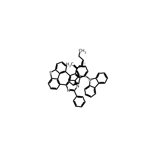 C=C(/C=C\CC)c1c(Sn2c3ccccc3c3ccccc32)cccc1-c1cccc2sc3cccc(-c4nc(-c5ccccc5)nc(-c5ccccc5)n4)c3c12